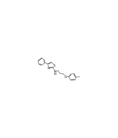 Cc1ccc(OCCCNc2nc(-c3ccccc3)cs2)cc1